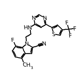 Cc1ccc(F)c2c1cc(C#N)n2CCNc1cc(-c2cc(C(F)(F)F)cs2)ncn1